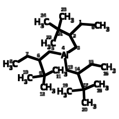 CCC([CH2][Al]([CH2]C(CC)C(C)(C)C)[CH2]C(CC)C(C)(C)C)C(C)(C)C